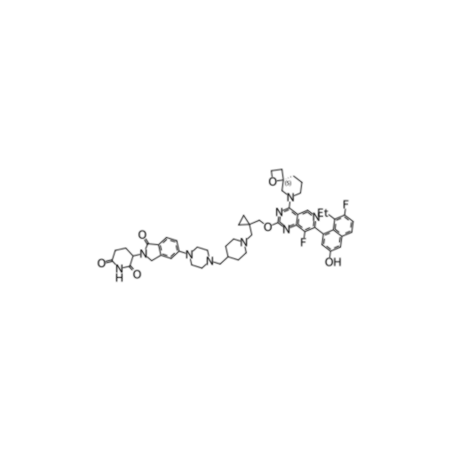 CCc1c(F)ccc2cc(O)cc(-c3ncc4c(N5CCC[C@]6(CCO6)C5)nc(OCC5(CN6CCC(CN7CCN(c8ccc9c(c8)CN(C8CCC(=O)NC8=O)C9=O)CC7)CC6)CC5)nc4c3F)c12